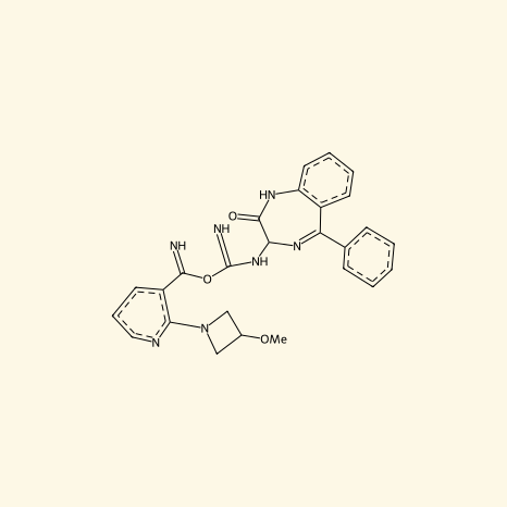 COC1CN(c2ncccc2C(=N)OC(=N)NC2N=C(c3ccccc3)c3ccccc3NC2=O)C1